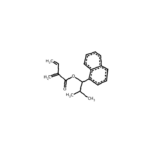 C=CC(=C)C(=O)OC(c1cccc2ccccc12)C(C)C